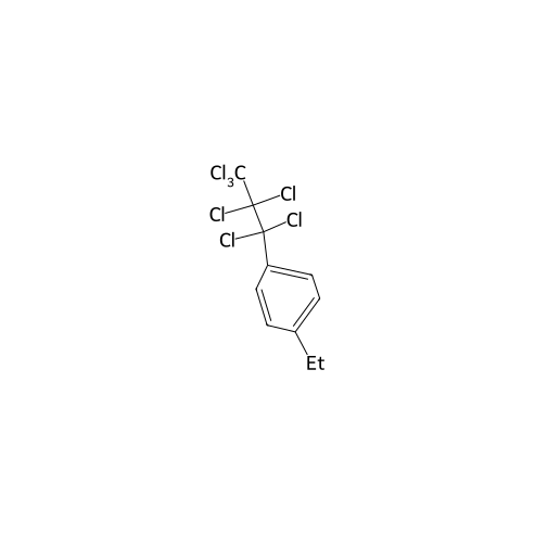 [CH2]Cc1ccc(C(Cl)(Cl)C(Cl)(Cl)C(Cl)(Cl)Cl)cc1